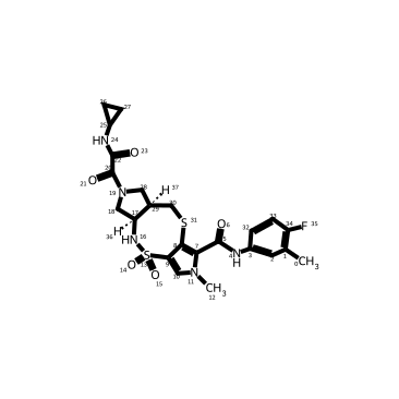 Cc1cc(NC(=O)c2c3c(cn2C)S(=O)(=O)N[C@H]2CN(C(=O)C(=O)NC4CC4)C[C@H]2CS3)ccc1F